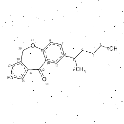 CC(CCCO)c1ccc2c(c1)C(=O)c1cscc1CO2